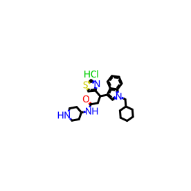 Cl.O=C(CC(c1cscn1)c1cn(CC2CCCCC2)c2ccccc12)NC1CCNCC1